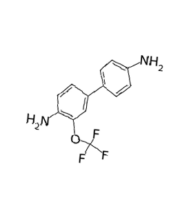 Nc1ccc(-c2ccc(N)c(OC(F)(F)F)c2)cc1